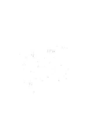 CC(=O)NCCC(CNC(C)=O)(c1ccccc1)c1ccc(N(C)C)cc1